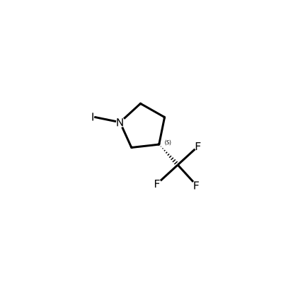 FC(F)(F)[C@H]1CCN(I)C1